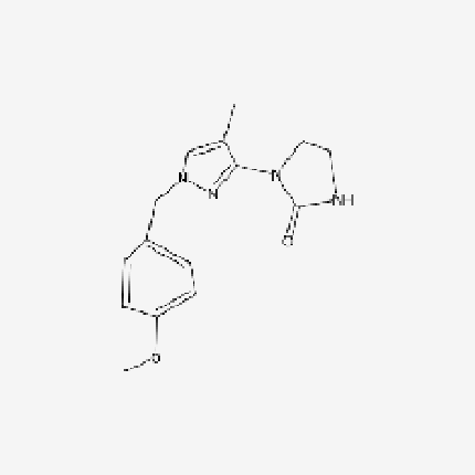 COc1ccc(Cn2cc(C)c(N3CCNC3=O)n2)cc1